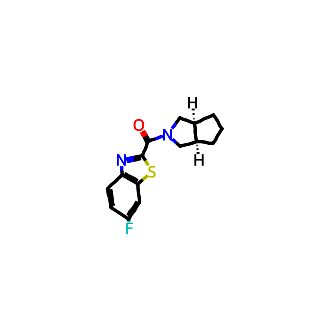 O=C(c1nc2ccc(F)cc2s1)N1C[C@H]2CCC[C@H]2C1